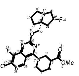 COC(=O)C1CCCN(c2nc(OC[C@]34CCCN3C[C@@H](F)C4)nc3c(F)c(Cl)ncc23)C1